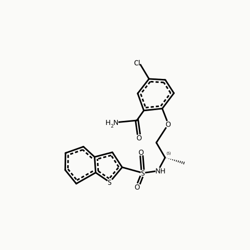 C[C@@H](COc1ccc(Cl)cc1C(N)=O)NS(=O)(=O)c1cc2ccccc2s1